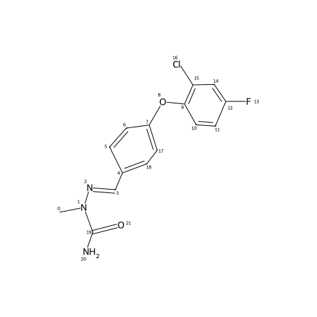 CN(N=Cc1ccc(Oc2ccc(F)cc2Cl)cc1)C(N)=O